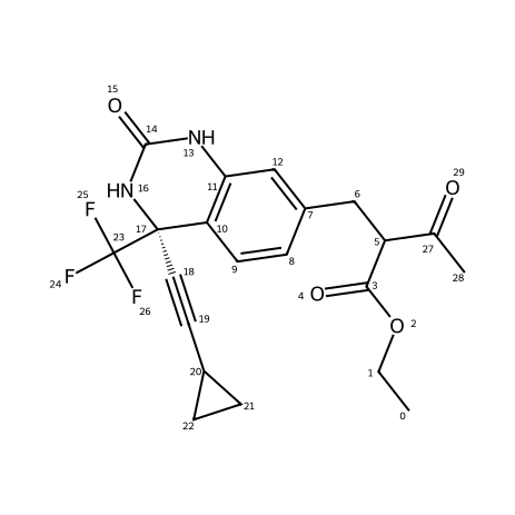 CCOC(=O)C(Cc1ccc2c(c1)NC(=O)N[C@]2(C#CC1CC1)C(F)(F)F)C(C)=O